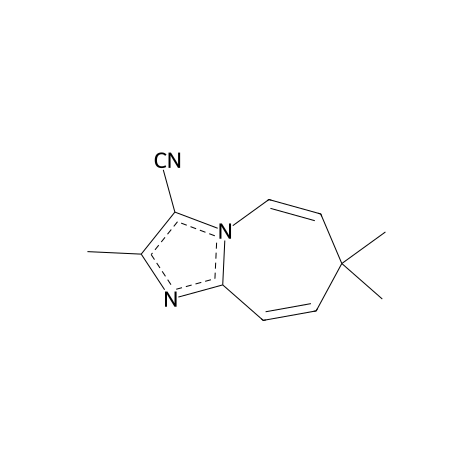 Cc1nc2n(c1C#N)C=CC(C)(C)C=C2